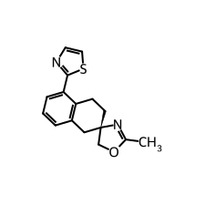 CC1=N[C@]2(CCc3c(cccc3-c3nccs3)C2)CO1